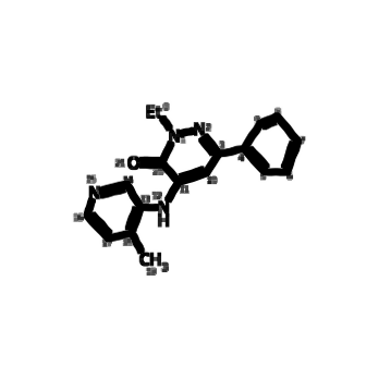 CCn1nc(-c2ccccc2)cc(Nc2cnccc2C)c1=O